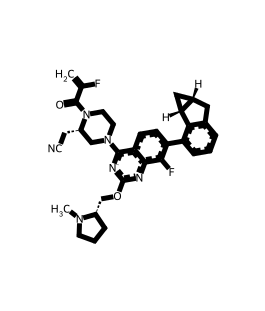 C=C(F)C(=O)N1CCN(c2nc(OC[C@@H]3CCCN3C)nc3c(F)c(-c4cccc5c4[C@@H]4C[C@@H]4C5)ccc23)C[C@@H]1CC#N